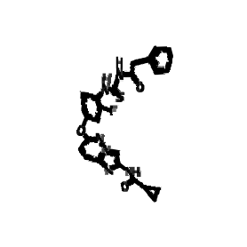 O=C(Cc1ccccc1)NC(=S)Nc1ccc(Oc2ccc3nc(NC(=O)C4CC4)cn3n2)cc1F